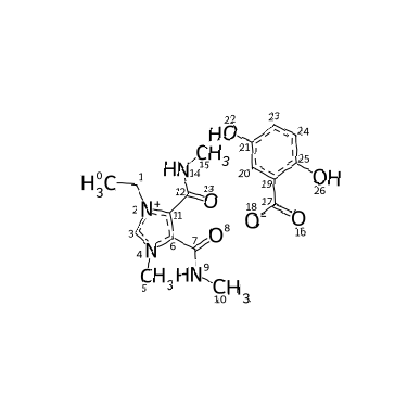 CC[n+]1cn(C)c(C(=O)NC)c1C(=O)NC.O=C([O-])c1cc(O)ccc1O